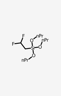 CCCO[Si](CC(F)F)(OCCC)OCCC